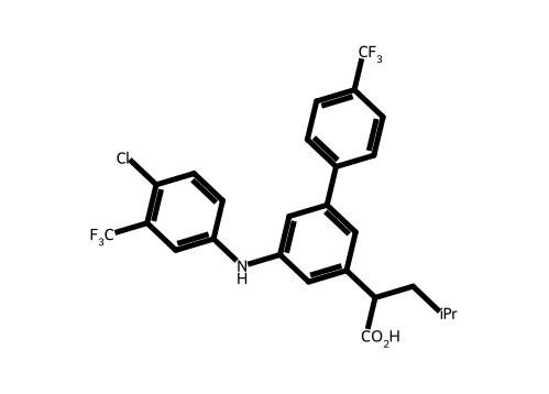 CC(C)CC(C(=O)O)c1cc(Nc2ccc(Cl)c(C(F)(F)F)c2)cc(-c2ccc(C(F)(F)F)cc2)c1